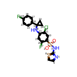 O=S(=O)(Nc1nccs1)c1cc(Cl)c(NC2(c3ccc(F)cc3)CC2)cc1F